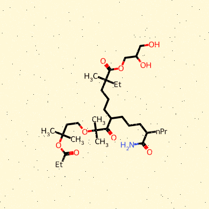 CCCC(CCCC(CCCC(C)(CC)C(=O)OCC(O)CO)C(=O)C(C)(C)OCCC(C)(C)OC(=O)CC)C(N)=O